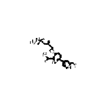 CC(COc1ccc(-c2ccnc(CF)c2)nc1C(F)F)CC(C)(C)N